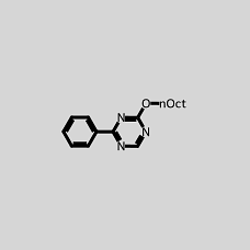 CCCCCCCCOc1ncnc(-c2ccccc2)n1